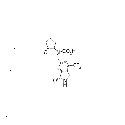 O=C1NCc2c1cc(CN(C(=O)O)C1CCCC1=O)cc2C(F)(F)F